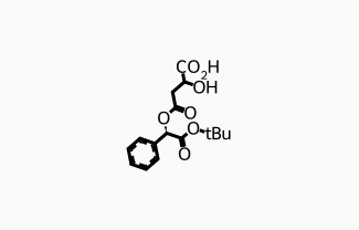 CC(C)(C)OC(=O)[C@@H](OC(=O)CC(O)C(=O)O)c1ccccc1